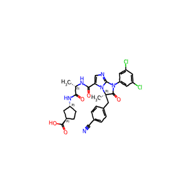 C[C@H](NC(=O)c1cnc2n1[C@](C)(Cc1ccc(C#N)cc1)C(=O)N2c1cc(Cl)cc(Cl)c1)C(=O)N[C@@H]1CC[C@@H](C(=O)O)C1